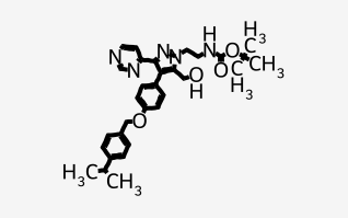 CC(C)c1ccc(COc2ccc(-c3c(-c4ccncn4)nn(CCNC(=O)OC(C)(C)C)c3CO)cc2)cc1